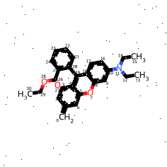 C=c1ccc2c(c1)Oc1cc(N(CC)CC)ccc1C=2c1ccccc1C(=O)OCC